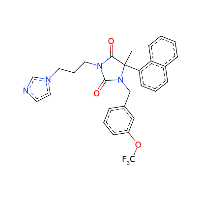 CC1(c2cccc3ccccc23)C(=O)N(CCCn2ccnc2)C(=O)N1Cc1cccc(OC(F)(F)F)c1